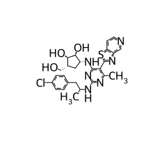 Cc1nc(NC(C)Cc2ccc(Cl)cc2)nc(N[C@@H]2C[C@H](CO)[C@@H](O)[C@H]2O)c1-c1nc2cnccc2s1